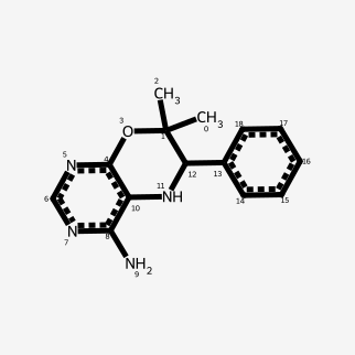 CC1(C)Oc2ncnc(N)c2NC1c1ccccc1